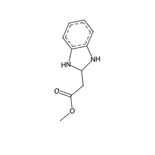 COC(=O)CC1Nc2ccccc2N1